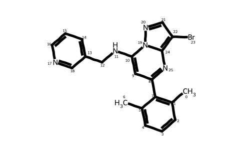 Cc1cccc(C)c1-c1cc(NCc2cccnc2)n2ncc(Br)c2n1